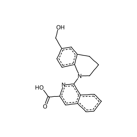 O=C(O)c1cc2ccccc2c(N2CCCc3cc(CO)ccc32)n1